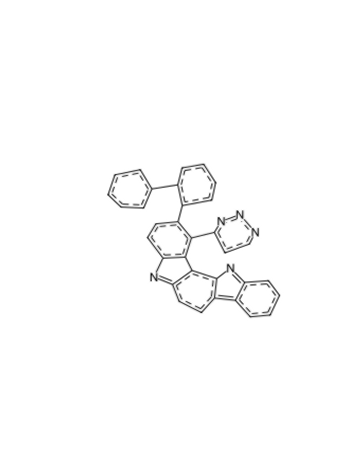 c1ccc(-c2ccccc2-c2ccc3c(c2-c2ccnnn2)-c2c4c(ccc2=N3)=c2ccccc2=N4)cc1